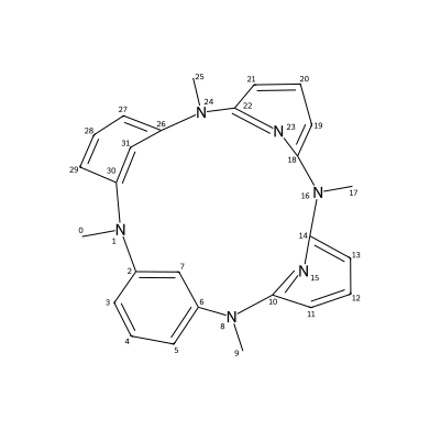 CN1c2cccc(c2)N(C)c2cccc(n2)N(C)c2cccc(n2)N(C)c2cccc1c2